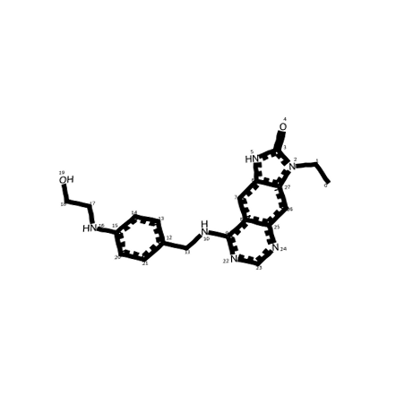 CCn1c(=O)[nH]c2cc3c(NCc4ccc(NCCO)cc4)ncnc3cc21